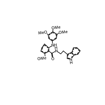 COc1cc(Nc2cccc(OC)c2C(=O)NCCc2c[nH]c3ccccc23)cc(OC)c1OC